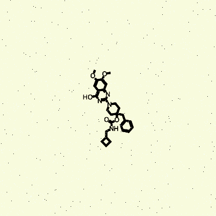 COc1cc2nc(N3CCC(Cc4ccccc4)(OC(=O)NCC4CCC4)CC3)nc(O)c2cc1OC